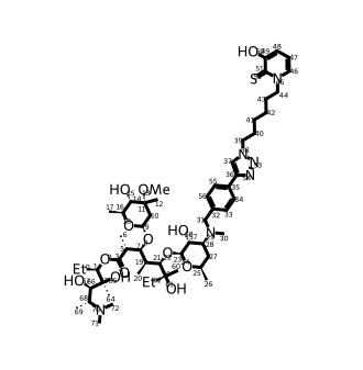 CC[C@@H](OC(=O)[C@H](C)[C@@H](O[C@H]1C[C@@](C)(OC)[C@@H](O)[C@H](C)O1)[C@H](C)[C@@H](O[C@@H]1O[C@H](C)C[C@H](N(C)Cc2ccc(-c3cn(CCCCCCn4cccc(O)c4=S)nn3)cc2)[C@H]1O)[C@](C)(O)CC)[C@@](C)(O)[C@H](O)[C@@H](C)N(C)C